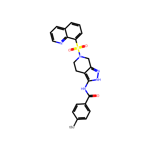 CC(C)(C)c1ccc(C(=O)Nc2[nH]nc3c2CCN(S(=O)(=O)c2cccc4cccnc24)C3)cc1